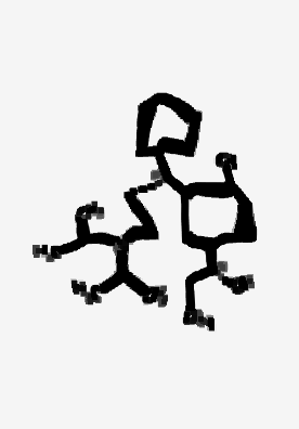 CC(C)N(CC[C@H](c1ccccc1)c1cc([C@H](O)CO)ccc1O)C(C)C